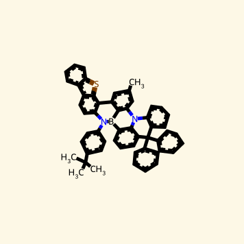 Cc1cc2c3c(c1)N1c4ccccc4C(c4ccccc4)(c4ccccc4)c4cccc(c41)B3N(c1ccc(C(C)(C)C)cc1)c1ccc3c(sc4ccccc43)c1-2